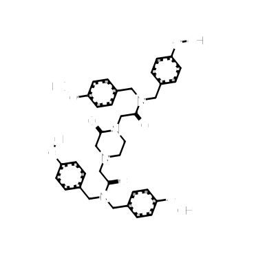 COc1ccc(CN(Cc2ccc(OC)cc2)C(=O)CN2CCN(CC(=O)N(Cc3ccc(OC)cc3)Cc3ccc(OC)cc3)C(=O)C2)cc1